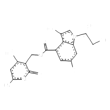 CC[C@@H](C)n1cc(C)c2c(C(=O)NCc3c(C)cc(N)[nH]c3=O)cc(Br)cc21